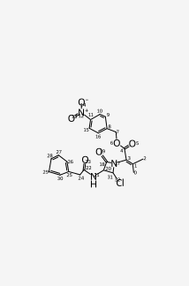 CC(C)=C(C(=O)OCc1ccc([N+](=O)[O-])cc1)N1C(=O)C(NC(=O)Cc2ccccc2)C1Cl